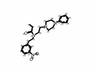 CCC(=O)N(CCc1cccc([N+](=O)[O-])c1)CCN1CCN(c2ccccc2)CC1